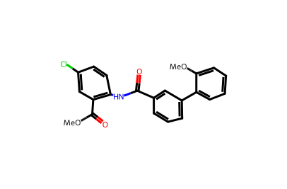 COC(=O)c1cc(Cl)ccc1NC(=O)c1cccc(-c2ccccc2OC)c1